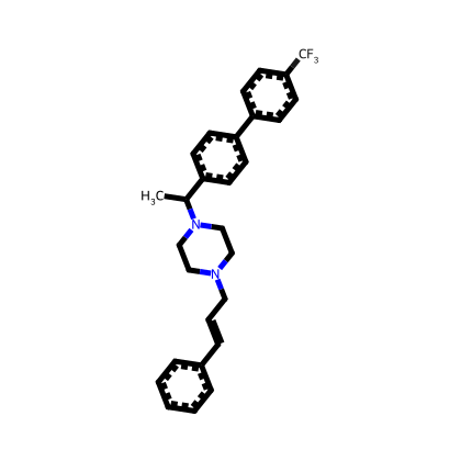 CC(c1ccc(-c2ccc(C(F)(F)F)cc2)cc1)N1CCN(CC=Cc2ccccc2)CC1